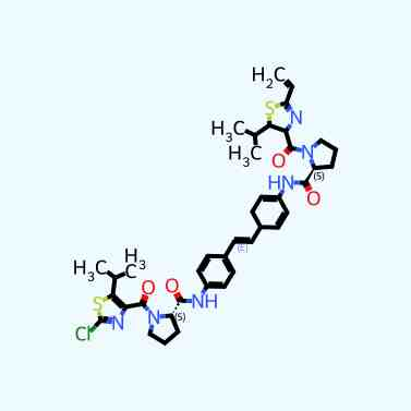 C=CC1=NC(C(=O)N2CCC[C@H]2C(=O)NC2=CCC(/C=C/c3ccc(NC(=O)[C@@H]4CCCN4C(=O)c4nc(Cl)sc4C(C)C)cc3)C=C2)C(C(C)C)S1